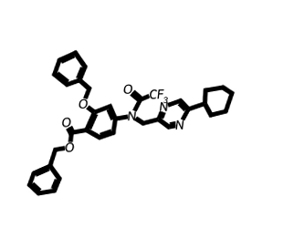 O=C(OCc1ccccc1)c1ccc(N(Cc2cnc(C3CCCCC3)cn2)C(=O)C(F)(F)F)cc1OCc1ccccc1